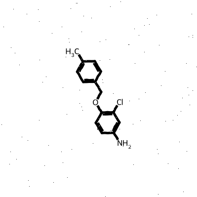 Cc1ccc(COc2ccc(N)cc2Cl)cc1